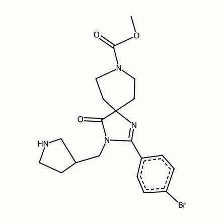 COC(=O)N1CCC2(CC1)N=C(c1ccc(Br)cc1)N(CC1CCNC1)C2=O